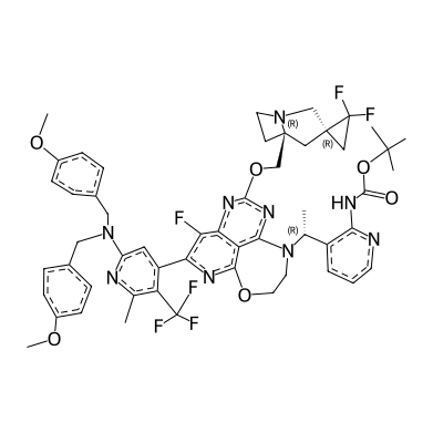 COc1ccc(CN(Cc2ccc(OC)cc2)c2cc(-c3nc4c5c(nc(OC[C@@]67CCN6C[C@]6(CC6(F)F)C7)nc5c3F)N([C@H](C)c3cccnc3NC(=O)OC(C)(C)C)CCO4)c(C(F)(F)F)c(C)n2)cc1